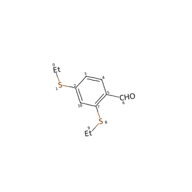 CCSc1ccc(C=O)c(SCC)c1